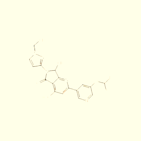 CCn1ccc(N2C(=O)c3c(C)cc(-c4cncc(OC(F)F)c4)nc3C2C)n1